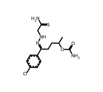 CC(CCC(=NNCC(N)=S)c1ccc(Cl)cc1)OC(N)=O